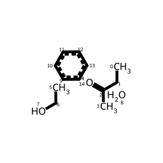 CCC(C)=O.CCO.O.c1ccccc1